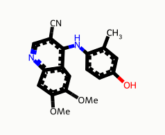 COc1cc2ncc(C#N)c(Nc3ccc(O)cc3C)c2cc1OC